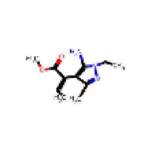 C/C=C(/C(=O)OC)c1c(C)nn(CC)c1N